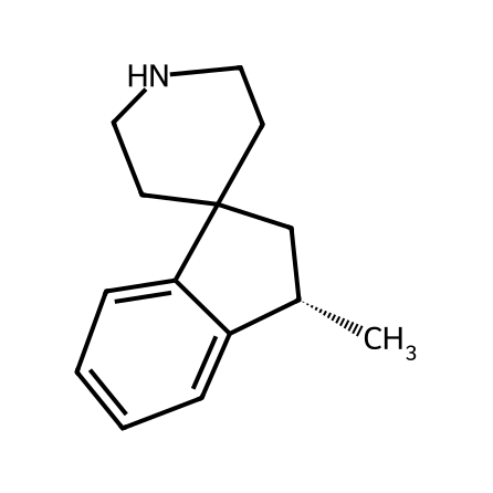 C[C@H]1CC2(CCNCC2)c2ccccc21